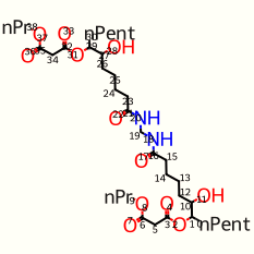 CCCCCC(OC(=O)CC(=O)OCCC)C(O)CCCCC(=O)NCNC(=O)CCCCC(O)C(CCCCC)OC(=O)CC(=O)OCCC